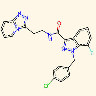 O=C(NCCc1nnc2ccccn12)c1nn(Cc2ccc(Cl)cc2)c2c(F)cccc12